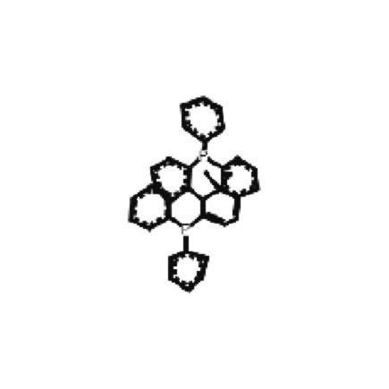 CC1(C)C=CC=C(P(c2ccccc2)c2ccccc2)C1c1ccccc1P(c1ccccc1)c1ccccc1